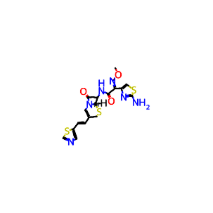 CON=C(C(=O)NC1C(=O)N2C=C(C=Cc3cncs3)CS[C@@H]12)c1csc(N)n1